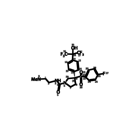 CNCCNC(=O)N1CC[C@](c2ccc(C(O)(C(F)(F)F)C(F)(F)F)cc2)(S(=O)(=O)c2ccc(F)cc2)C1